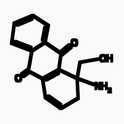 NC1(CO)CC=CC2=C1C(=O)c1ccccc1C2=O